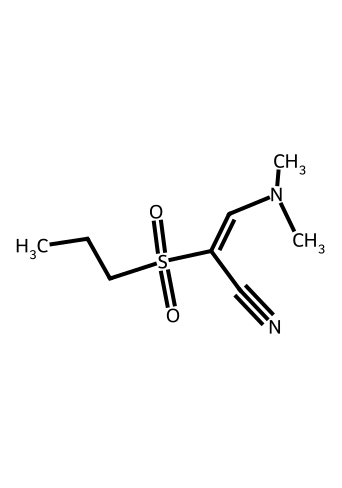 CCCS(=O)(=O)C(C#N)=CN(C)C